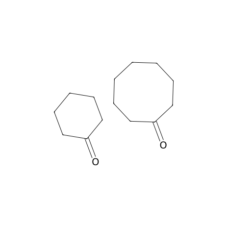 O=C1CCCCC1.O=C1CCCCCCC1